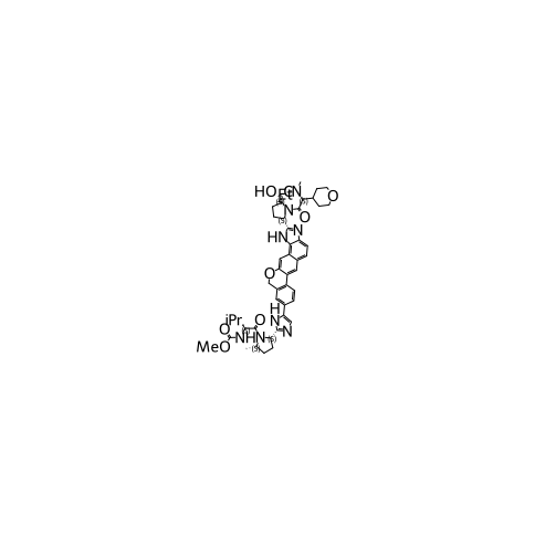 CC[C@H]1CC[C@@H](c2nc3ccc4cc5c(cc4c3[nH]2)OCc2cc(-c3cnc([C@@H]4CC[C@H](C)N4C(=O)[C@@H](NC(=O)OC)C(C)C)[nH]3)ccc2-5)N1C(=O)[C@H](C1CCOCC1)N(C)C(=O)O